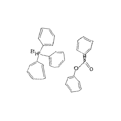 CC[PH](c1ccccc1)(c1ccccc1)c1ccccc1.O=[PH](Oc1ccccc1)c1ccccc1